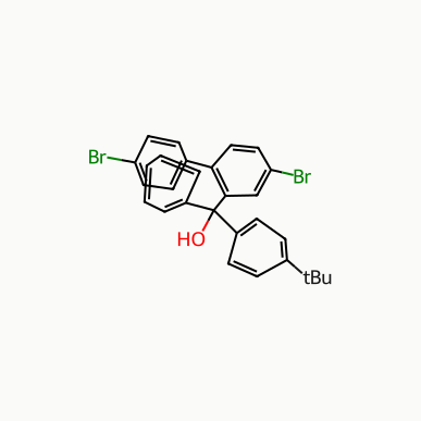 CC(C)(C)c1ccc(C(O)(c2ccccc2)c2cc(Br)ccc2-c2ccc(Br)cc2)cc1